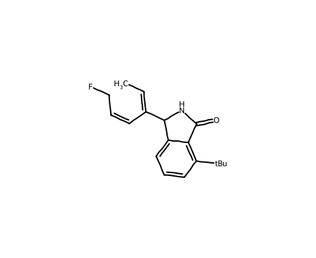 C/C=C(\C=C/CF)C1NC(=O)c2c1cccc2C(C)(C)C